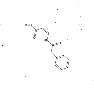 COC(=O)/C=C\NC(=O)Cc1ccccc1